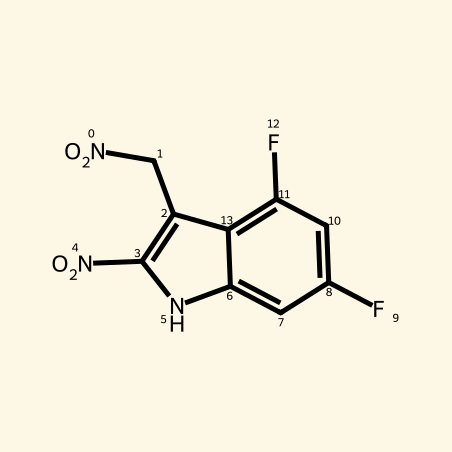 O=[N+]([O-])Cc1c([N+](=O)[O-])[nH]c2cc(F)cc(F)c12